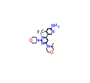 C[C@H]1COCCN1c1cc(-c2cnc(N)cc2C(F)(F)F)nc(N2CCOCC2)n1